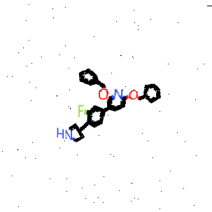 Fc1cc(-c2ccc(OCc3ccccc3)nc2OCc2ccccc2)ccc1C1CCNCC1